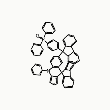 O=P(c1ccccc1)(c1ccccc1)c1ccc(C2(c3ccc4c(c3)C3(c5ccccc5-c5ccccc53)c3ccccc3N4c3ccccc3)c3ccccc3-c3ccccc32)cc1